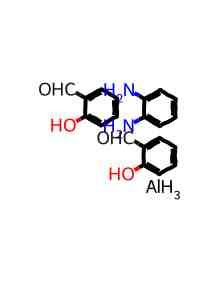 Nc1ccccc1N.O=Cc1ccccc1O.O=Cc1ccccc1O.[AlH3]